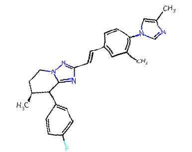 Cc1cn(-c2ccc(/C=C/c3nc4n(n3)CC[C@H](C)C4c3ccc(F)cc3)cc2C)cn1